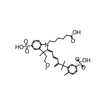 C=C(/C=C/C=C1/N(CCCCCC(=O)O)c2ccc(S(=O)(=O)O)cc2C1(C)CCOC)C(C)(C)c1cc(S(=O)(=O)O)ccc1C